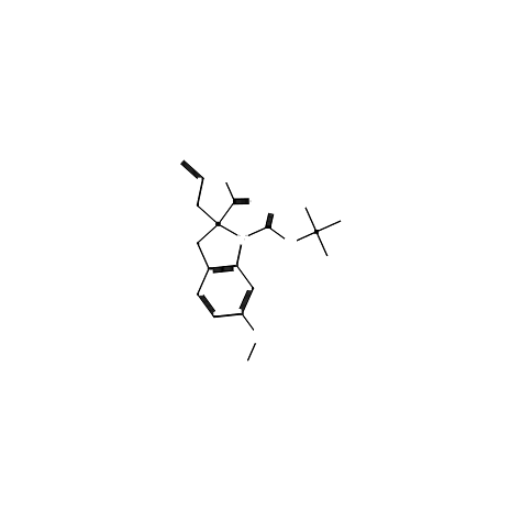 C=CCC1(C(=O)O)Cc2ccc(OC)cc2N1C(=O)OC(C)(C)C